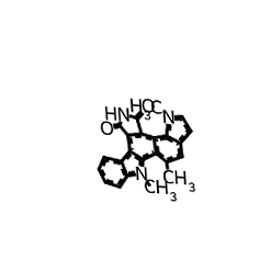 Cc1cc2ccn(C)c2c2c3c(c4c5ccccc5n(C)c4c12)C(=O)NC3=O